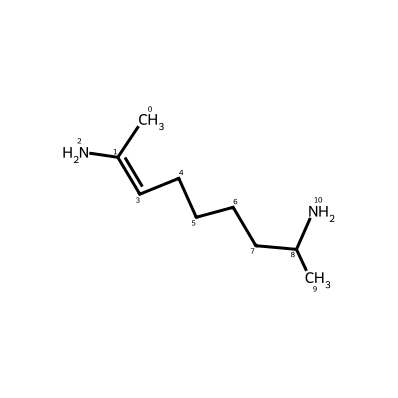 C/C(N)=C\CCCCC(C)N